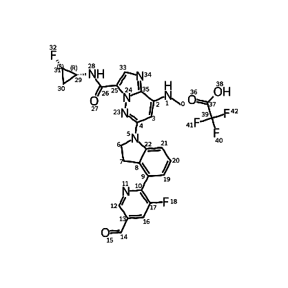 CNc1cc(N2CCc3c(-c4ncc(C=O)cc4F)cccc32)nn2c(C(=O)N[C@@H]3C[C@@H]3F)cnc12.O=C(O)C(F)(F)F